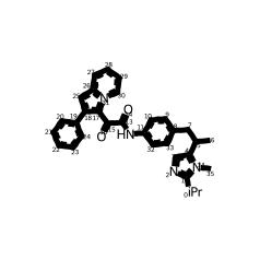 CC(C)c1ncc(C(C)Cc2ccc(NC(=O)C(=O)c3c(-c4ccccc4)cc4ccccn34)cc2)n1C